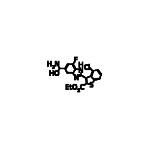 CCOC(=O)c1sc2cccc(Cl)c2c1-c1nc2cc(C(N)O)cc(F)c2[nH]1